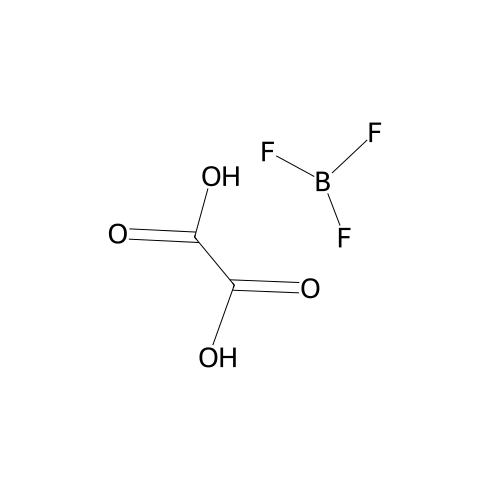 FB(F)F.O=C(O)C(=O)O